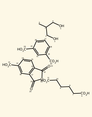 CC(CO)CO.O=C(O)CCCCC(=O)O.O=C(O)c1ccc2c(c1)C(=O)OC2=O.O=C(O)c1cccc(C(=O)O)c1